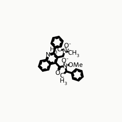 CO[N+]([O-])(C(=O)c1c(C[N+](C)(C)[O-])c(-c2ccccc2)nc2ccccc12)C(C)c1ccccc1